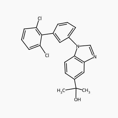 CC(C)(O)c1ccc2c(c1)ncn2-c1cccc(-c2c(Cl)cccc2Cl)c1